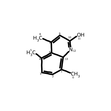 Cc1ccc(C)c2c(C)cc(O)nc12